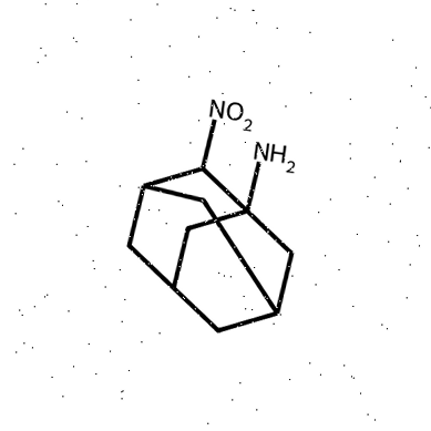 NC12CC3CC(CC(C3)C1[N+](=O)[O-])C2